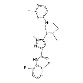 CC1=C(c2cc(C(=O)Nc3c(F)cccc3F)nn2C)CN(c2ccnc(C)n2)CC1